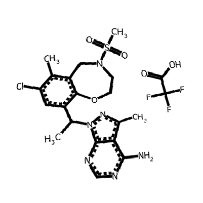 Cc1c(Cl)cc(C(C)n2nc(C)c3c(N)ncnc32)c2c1CN(S(C)(=O)=O)CCO2.O=C(O)C(F)(F)F